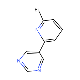 CCc1cccc(-c2cncnc2)n1